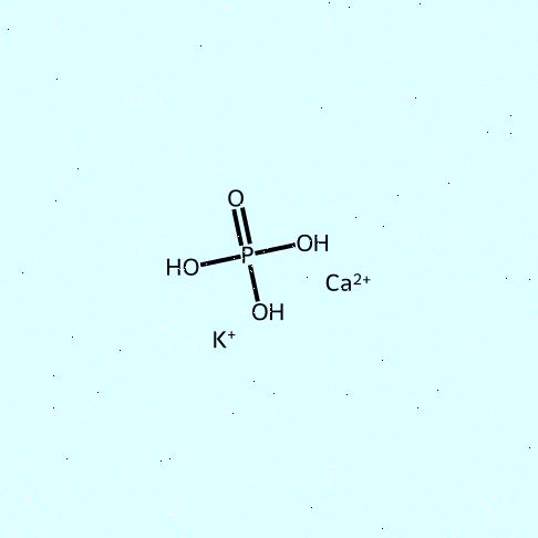 O=P(O)(O)O.[Ca+2].[K+]